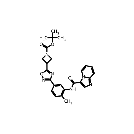 Cc1ccc(-c2noc(C3CN(C(=O)OC(C)(C)C)C3)n2)cc1NC(=O)c1cnc2ccccn12